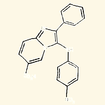 O=C(O)c1ccc2nc(-c3ccccc3)c(Nc3ccc([N+](=O)[O-])cc3)n2c1